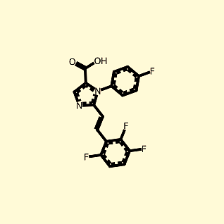 O=C(O)c1cnc(/C=C/c2c(F)ccc(F)c2F)n1-c1ccc(F)cc1